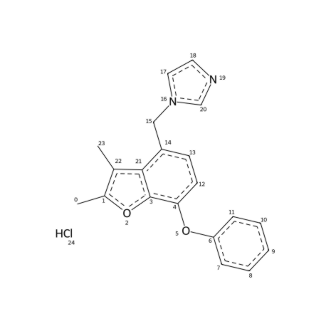 Cc1oc2c(Oc3ccccc3)ccc(Cn3ccnc3)c2c1C.Cl